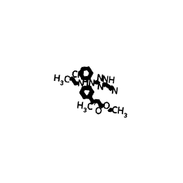 CCOC(=O)C[C@@H](C)c1ccc(N(CC(C)C)C2CCCCC2)c(Nc2n[nH]c(C#N)n2)c1